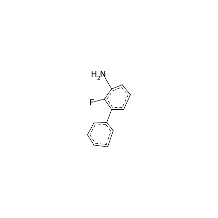 Nc1cccc(-c2ccccc2)c1F